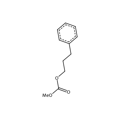 [CH2]OC(=O)OCCCc1ccccc1